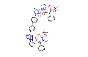 CCN(C(=O)OC(C)(C)C)[C@@H](C(=O)N1CCCC1c1ncc(-c2ccc(-c3ccc(-c4cnc([C@@H]5CCCN5C(=O)C(C(=O)OC(C)(C)C)c5ccccc5)[nH]4)cc3)cc2)[nH]1)c1ccccc1